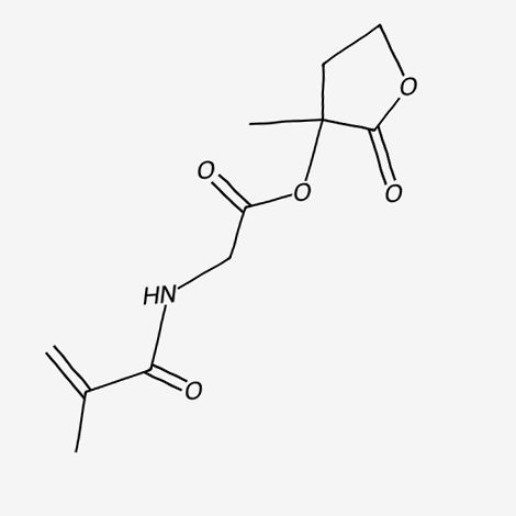 C=C(C)C(=O)NCC(=O)OC1(C)CCOC1=O